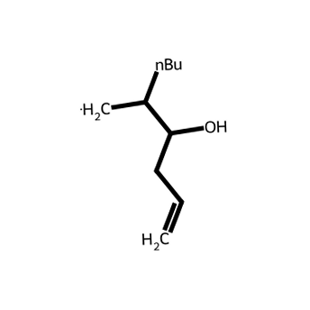 [CH2]C(CCCC)C(O)CC=C